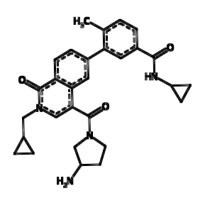 Cc1ccc(C(=O)NC2CC2)cc1-c1ccc2c(=O)n(CC3CC3)cc(C(=O)N3CCC(N)C3)c2c1